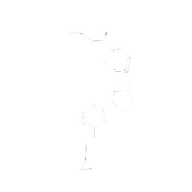 C[C@H](NC(=O)CO)c1ccc(OC2CCN(c3ccnc(OCC4CC4)c3)C2)cc1